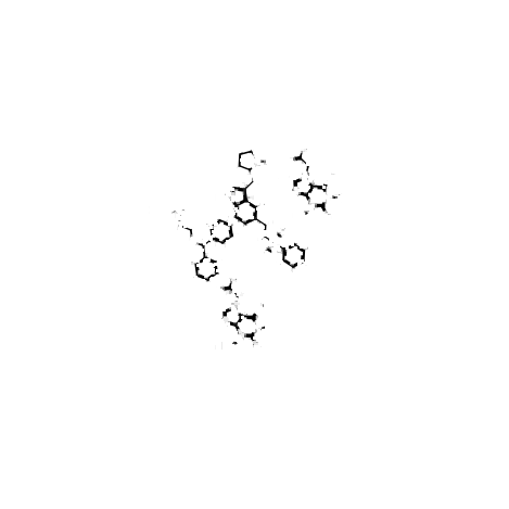 CN(C)CCOC(c1ccccc1)c1ccccc1.CN1CCC[C@@H]1Cc1c[nH]c2ccc(CCS(=O)(=O)c3ccccc3)cc12.Cn1c(=O)c2c(ncn2CC(=O)O)n(C)c1=O.Cn1c(=O)c2c(ncn2CC(=O)O)n(C)c1=O